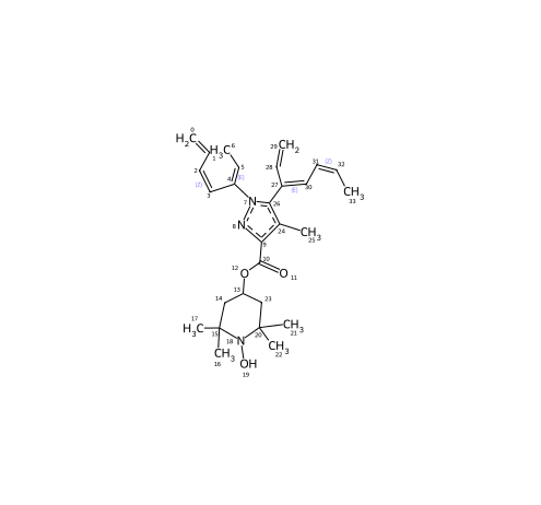 C=C/C=C\C(=C/C)n1nc(C(=O)OC2CC(C)(C)N(O)C(C)(C)C2)c(C)c1/C(C=C)=C/C=C\C